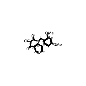 COc1ccc(Cn2c(=O)n(Cl)c(=O)c3cnccc32)c(OC)c1